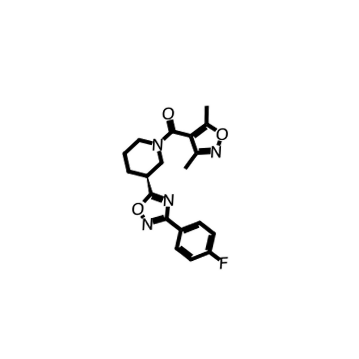 Cc1noc(C)c1C(=O)N1CCC[C@H](c2nc(-c3ccc(F)cc3)no2)C1